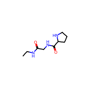 CCNC(=O)CNC(=O)C1CCCN1